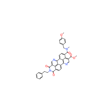 COC(=O)c1cnc2c3ccc4c5c(cnc(c6ccc(C(=O)N(C)Cc7ccc(OC)cc7)c1c62)c53)C(=O)N(CCc1ccccc1)C4=O